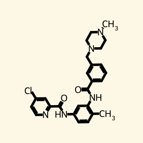 Cc1ccc(NC(=O)c2cc(Cl)ccn2)cc1NC(=O)c1cccc(CN2CCN(C)CC2)c1